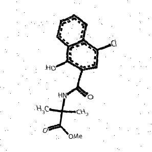 COC(=O)C(C)(C)NC(=O)c1cc(Cl)c2ccccc2c1O